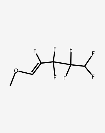 COC=C(F)C(F)(F)C(F)(F)C(F)F